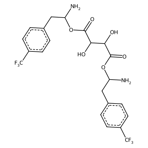 NC(Cc1ccc(C(F)(F)F)cc1)OC(=O)C(O)C(O)C(=O)OC(N)Cc1ccc(C(F)(F)F)cc1